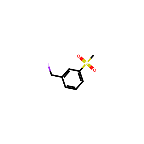 CS(=O)(=O)c1cccc(CI)c1